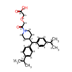 CC(C)c1ccc(C(c2ccc(C(C)C)cc2)C2CCN(C(=O)COCC(=O)O)CC2)cc1